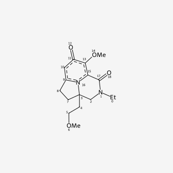 CCN1CC2(CCOC)CCc3cc(=O)c(OC)c(n32)C1=O